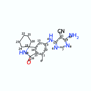 Cc1cc(Nc2ncnc(N)c2C#N)cc2c1C(=O)NC21CCCCC1